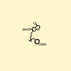 COC1=C(CCCC2(Cc3ccc(OC)cc3)CC2)CC2N=CC=C(Cl)C2=C1